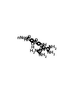 CCCCCCCCCC(=O)Nc1ccc(C(=O)Nc2ccc(Nc3nc(N4C[C@H](N)C[C@H](N)C4)nc(N4C[C@H](N)C[C@H](N)C4)n3)cc2)c(O)c1